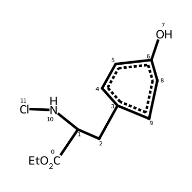 CCOC(=O)C(Cc1ccc(O)cc1)NCl